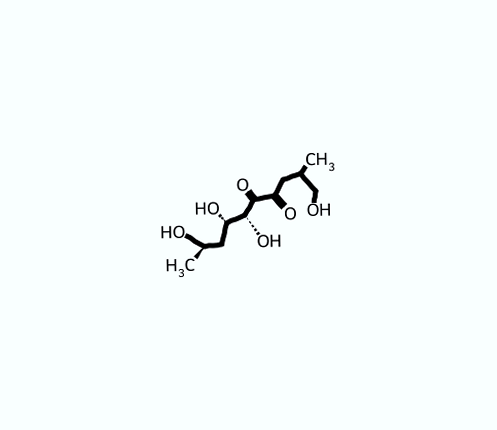 CC(CO)CC(=O)C(=O)[C@H](O)[C@@H](O)C[C@@H](C)O